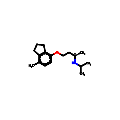 Cc1ccc(OCC[C@H](C)NC(C)C)c2c1CCC2